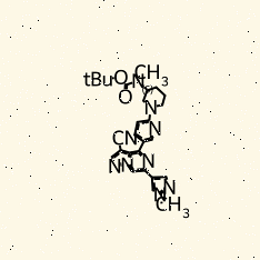 CN(C(=O)OC(C)(C)C)[C@H]1CCCN(c2ccc(-c3nc(-c4cnn(C)c4)cn4ncc(C#N)c34)cn2)C1